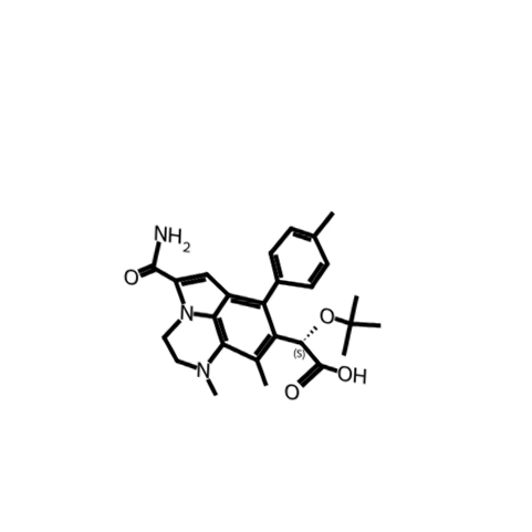 Cc1ccc(-c2c([C@H](OC(C)(C)C)C(=O)O)c(C)c3c4c2cc(C(N)=O)n4CCN3C)cc1